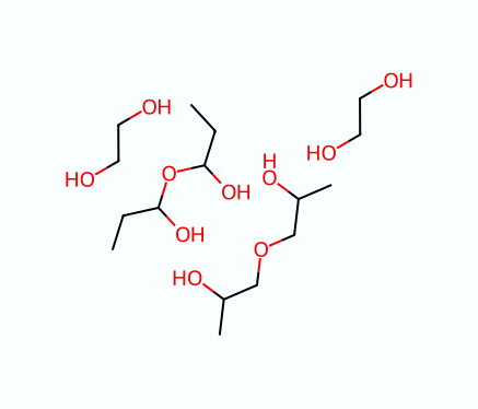 CC(O)COCC(C)O.CCC(O)OC(O)CC.OCCO.OCCO